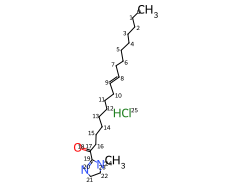 CCCCCCCCC=CCCCCCCCC(=O)C1=NCCN1C.Cl